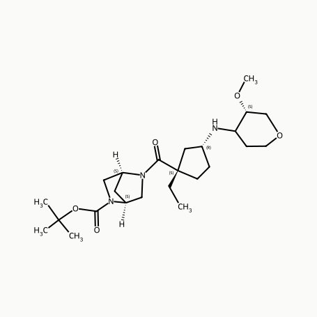 CC[C@]1(C(=O)N2C[C@@H]3C[C@H]2CN3C(=O)OC(C)(C)C)CC[C@@H](NC2CCOC[C@H]2OC)C1